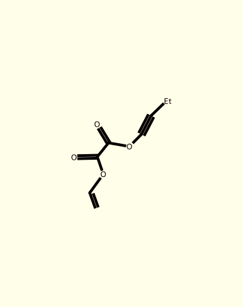 C=COC(=O)C(=O)OC#CCC